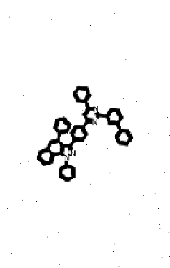 c1ccc(-c2cccc(-c3nc(-c4ccccc4)cc(-c4ccc(-c5nn(-c6ccccc6)c6c5c(-c5ccccc5)cc5ccccc56)cc4)n3)c2)cc1